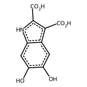 O=C(O)c1[nH]c2cc(O)c(O)cc2c1C(=O)O